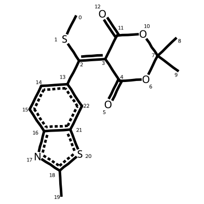 CSC(=C1C(=O)OC(C)(C)OC1=O)c1ccc2nc(C)sc2c1